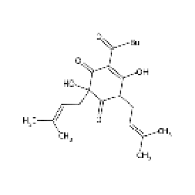 CCC(C)C(=O)C1=C(O)C(CC=C(C)C)C(=O)C(O)(CC=C(C)C)C1=O